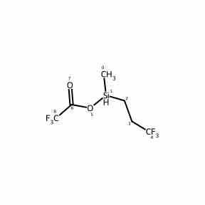 C[SiH](CCC(F)(F)F)OC(=O)C(F)(F)F